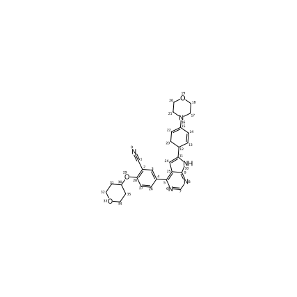 N#Cc1cc(-c2ncnc3[nH]c(C4C=CC(N5CCOCC5)=CC4)cc23)ccc1OC1CCOCC1